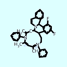 C=C1CC2C(CC/[N+](c3ccccc3)=C(C)\C=C(\C)N1c1ccccc1)c1cc(F)cc(F)c1C1c3ccccc3C=CN12